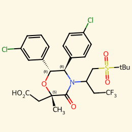 CC(C)(C)S(=O)(=O)CC(CC(F)(F)F)N1C(=O)[C@](C)(CC(=O)O)O[C@H](c2cccc(Cl)c2)[C@H]1c1ccc(Cl)cc1